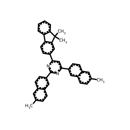 Cc1ccc2cc(-c3cc(-c4ccc5c(c4)C(C)(C)c4ccccc4-5)nc(-c4ccc5cc(C)ccc5c4)n3)ccc2c1